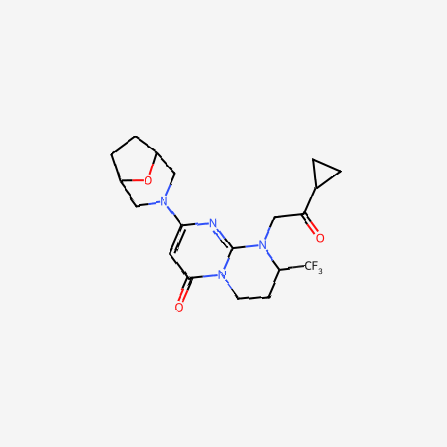 O=C(CN1c2nc(N3CC4CCC(C3)O4)cc(=O)n2CCC1C(F)(F)F)C1CC1